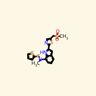 CN(Sc1cccs1)c1cccc2cc(-c3ncc(CS(C)(=O)=O)s3)[nH]c12